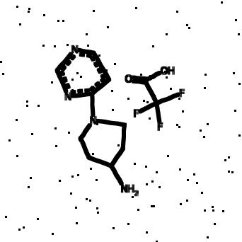 NC1CCN(c2ccncn2)CC1.O=C(O)C(F)(F)F